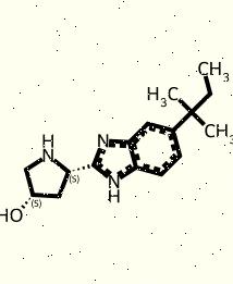 CCC(C)(C)c1ccc2[nH]c([C@@H]3C[C@H](O)CN3)nc2c1